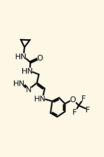 N=N/C(=C\Nc1cccc(OC(F)(F)F)c1)CNC(=O)NC1CC1